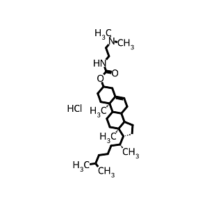 CC(C)CCC[C@@H](C)[C@H]1CCC2C3CC=C4CC(OC(=O)NCCN(C)C)CC[C@]4(C)C3CC[C@@]21C.Cl